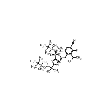 CC(C)c1cc(C#N)c(F)c(C(C)C)c1CC(=O)N=S(=O)(N[Si](C)(C)C(C)(C)C)c1cnc(C(C)(O)CO[Si](C)(C)C(C)(C)C)s1